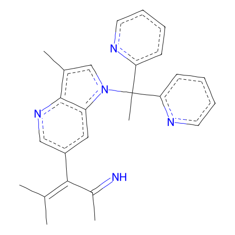 CC(=N)C(=C(C)C)c1cnc2c(C)cn(C(C)(c3ccccn3)c3ccccn3)c2c1